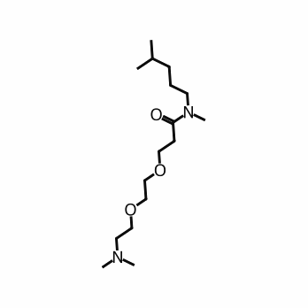 CC(C)CCCN(C)C(=O)CCOCCOCCN(C)C